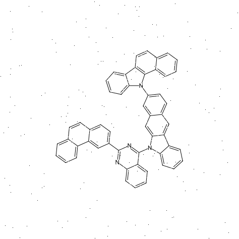 c1ccc2c(c1)ccc1ccc(-c3nc(-n4c5ccccc5c5cc6ccc(-n7c8ccccc8c8ccc9ccccc9c87)cc6cc54)c4ccccc4n3)cc12